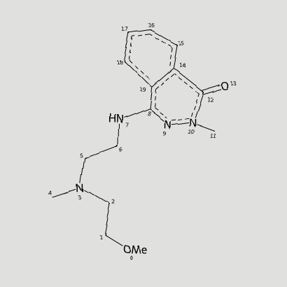 COCCN(C)CCNc1nn(C)c(=O)c2ccccc12